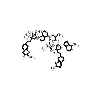 CC(C)C(=O)O[C@H]1[C@@H](OC(=O)C(C)CNc2ncnc3c2ccn3[C@@H]2C[C@](C)(CCc3ccc4cc(Cl)c(N)nc4c3)[C@@](C)(O)[C@H]2O)[C@H](n2ccc3c(N)ncnc32)C[C@]1(C)CCc1ccc2ccc(N)nc2c1